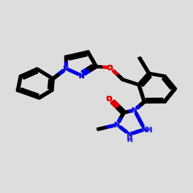 Cc1cccc(N2NNN(C)C2=O)c1COc1ccn(-c2ccccc2)n1